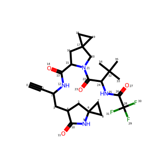 C#CC(CC1CC2(CC2)NC1=O)NC(=O)C1CC2(CC2)CN1C(=O)C(NC(=O)C(F)(F)F)C(C)(C)C